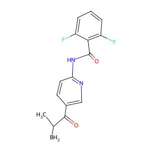 BC(C)C(=O)c1ccc(NC(=O)c2c(F)cccc2F)nc1